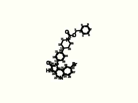 O=C(OCc1ccccc1)N1CCC(c2ccc(-n3c(=O)[nH]c4cnc5ccc(Br)cc5c43)cc2)CC1